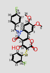 COc1cc2c3oc(=O)c(Sc4ccccc4F)c(O)c3c(=O)n(Cc3ccc(F)cc3)c2cc1OC